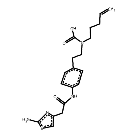 C=CCCCN(CCc1ccc(NC(=O)Cc2csc(N)n2)cc1)C(=O)O